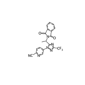 CC(c1nc(C(F)(F)F)nn1-c1ccc(C#N)nc1)N1C(=O)c2ccccc2C1=O